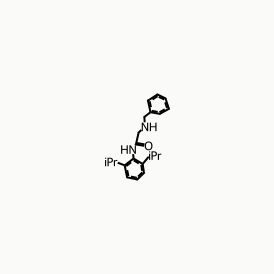 CC(C)c1cccc(C(C)C)c1NC(=O)CNCc1ccccc1